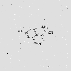 N#CC(N)c1cncc2cc(F)ccc12